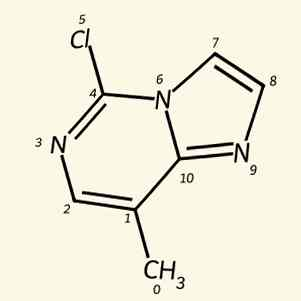 Cc1cnc(Cl)n2ccnc12